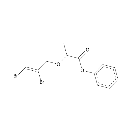 CC(OCC(Br)=CBr)C(=O)Oc1ccccc1